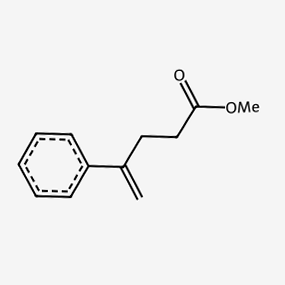 C=C(CCC(=O)OC)c1ccccc1